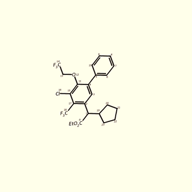 CCOC(=O)C(c1cc(-c2ccccc2)c(OCC(F)(F)F)c(Cl)c1C(F)(F)F)C1CCCC1